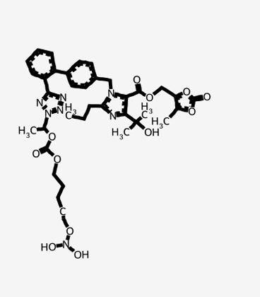 CCCc1nc(C(C)(C)O)c(C(=O)OCc2oc(=O)oc2C)n1Cc1ccc(-c2ccccc2-c2nnn(C(C)OC(=O)OCCCCCON(O)O)n2)cc1